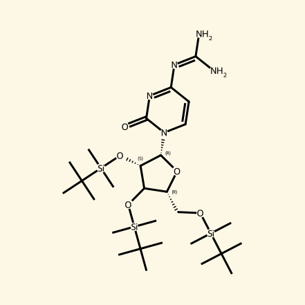 CC(C)(C)[Si](C)(C)OC[C@H]1O[C@@H](n2ccc(N=C(N)N)nc2=O)[C@@H](O[Si](C)(C)C(C)(C)C)C1O[Si](C)(C)C(C)(C)C